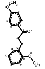 COc1ccc(C(=O)[C]Cc2ccccc2OC)cc1